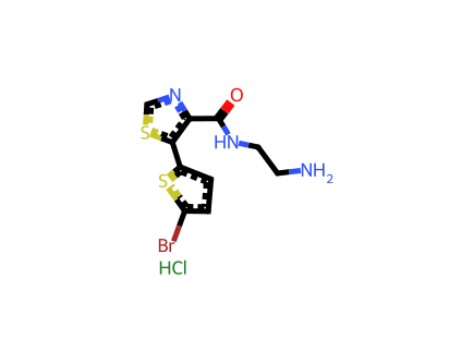 Cl.NCCNC(=O)c1ncsc1-c1ccc(Br)s1